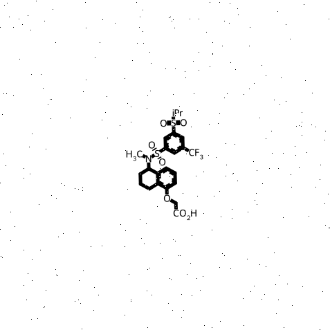 CC(C)S(=O)(=O)c1cc(C(F)(F)F)cc(S(=O)(=O)N(C)C2CCCc3c(OCC(=O)O)cccc32)c1